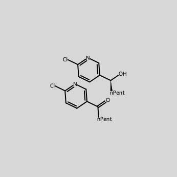 CCCCCC(=O)c1ccc(Cl)nc1.CCCCC[C@H](O)c1ccc(Cl)nc1